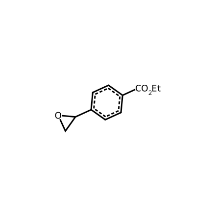 CCOC(=O)c1ccc(C2CO2)cc1